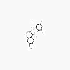 Cc1cc(Cl)c(Nc2c(N)cnc3cc4c(cc23)OCO4)cc1O